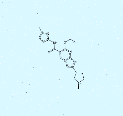 CC(C)Oc1nc2nc(C3CC[C@@H](C)C3)cn2cc1C(=O)Nc1ccn(C)n1